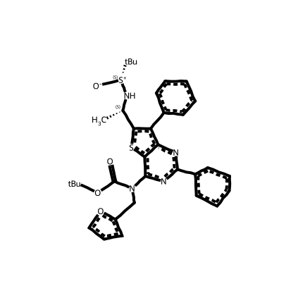 C[C@H](N[S@+]([O-])C(C)(C)C)c1sc2c(N(Cc3ccco3)C(=O)OC(C)(C)C)nc(-c3ccccc3)nc2c1-c1ccccc1